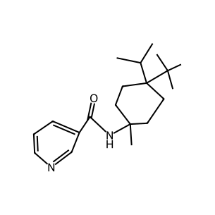 CC(C)C1(C(C)(C)C)CCC(C)(NC(=O)c2cccnc2)CC1